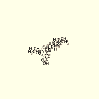 CC(C)(C)OC(=O)C=Cc1c(N2CCC(CC(=O)O)CC2)nc2cc(C(=O)Nc3nc(C(C)(C)C)cs3)ccn2c1=O